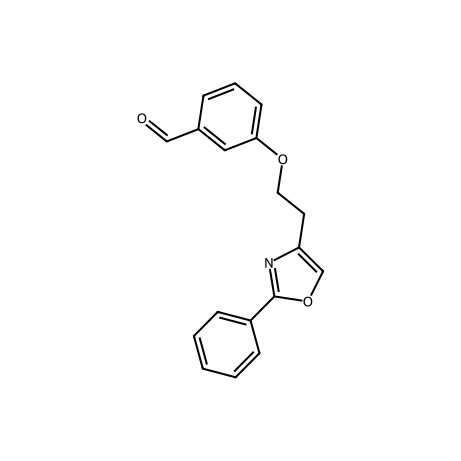 O=Cc1cccc(OCCc2coc(-c3ccccc3)n2)c1